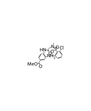 COC(=O)c1ccc(NC(=O)CN(C)S(=O)(=O)c2c(C)cccc2Cl)c(N)c1